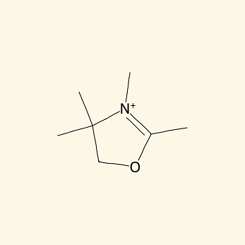 CC1=[N+](C)C(C)(C)CO1